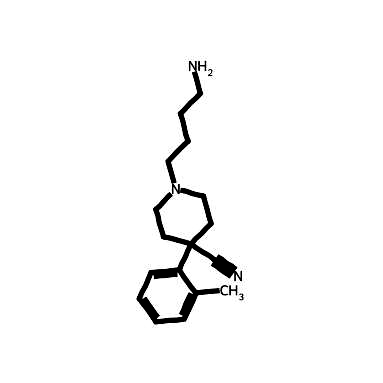 Cc1ccccc1C1(C#N)CCN(CCCCN)CC1